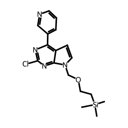 C[Si](C)(C)CCOCn1ccc2c(-c3cccnc3)nc(Cl)nc21